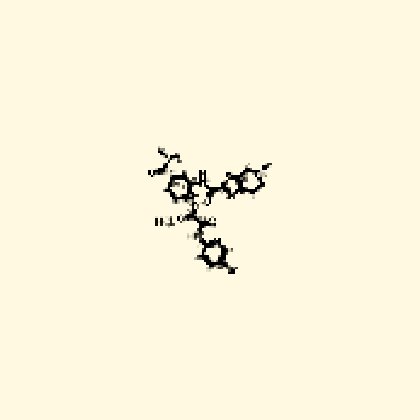 CN1CCc2nc(C(=O)N[C@@H]3C[C@@H](C(=O)N(C)C)CC[C@@H]3NC(=O)C(=O)Nc3ccc(Br)cn3)sc2C1.Cl